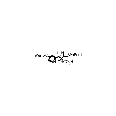 CCCCCOCC(N)C(O)(Cc1cc(OCCCCC)ccn1)C(=O)O